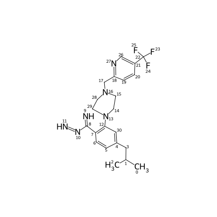 CC(C)Cc1ccc(C(=N)N=N)c(N2CCN(Cc3ccc(C(F)(F)F)cn3)CC2)c1